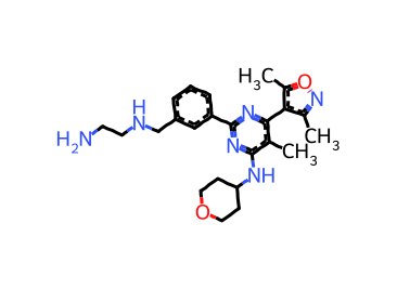 Cc1noc(C)c1-c1nc(-c2cccc(CNCCN)c2)nc(NC2CCOCC2)c1C